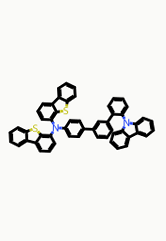 c1cc(-c2ccc(N(c3cccc4c3sc3ccccc34)c3cccc4c3sc3ccccc34)cc2)cc(-c2ccccc2-n2c3ccccc3c3ccccc32)c1